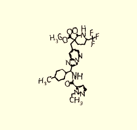 CCn1nccc1C(=O)N[C@H](c1cn2ncc(CC3(C(=O)OC)CCC(C(F)(F)F)NC3=O)cc2n1)C1CCC(C)CC1